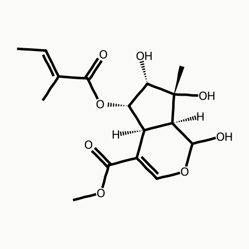 C/C=C(\C)C(=O)O[C@H]1[C@@H]2C(C(=O)OC)=COC(O)[C@@H]2[C@@](C)(O)[C@H]1O